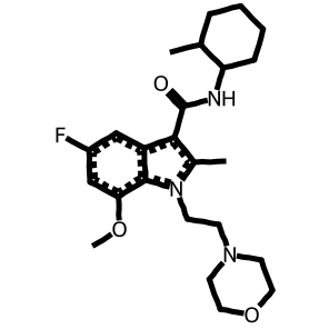 COc1cc(F)cc2c(C(=O)NC3CCCCC3C)c(C)n(CCN3CCOCC3)c12